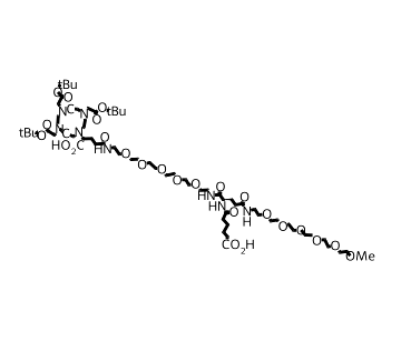 COCCOCCOCCOCCOCCOCCNC(=O)CC[C@@H](NC(=O)CCCCC(=O)O)C(=O)NCCOCCOCCOCCOCCOCCNC(=O)CCC(C(=O)O)N1CCN(CC(=O)OC(C)(C)C)CCN(CC(=O)OC(C)(C)C)CCN(CC(=O)OC(C)(C)C)CC1